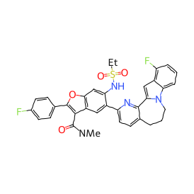 CCS(=O)(=O)Nc1cc2oc(-c3ccc(F)cc3)c(C(=O)NC)c2cc1-c1ccc2c(n1)-c1cc3c(F)cccc3n1CCC2